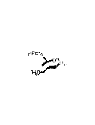 CCCC=CCO.CCCCCC(C)O